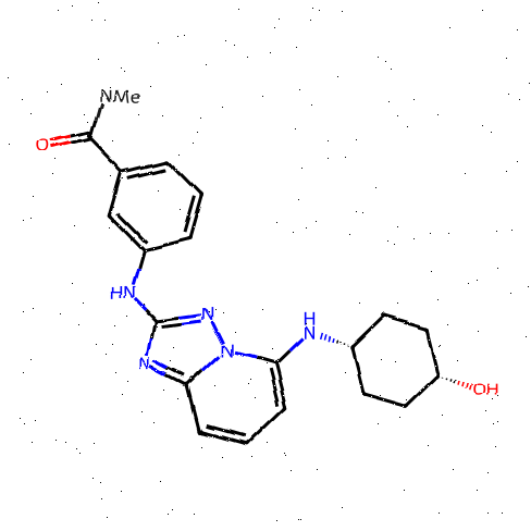 CNC(=O)c1cccc(Nc2nc3cccc(N[C@H]4CC[C@@H](O)CC4)n3n2)c1